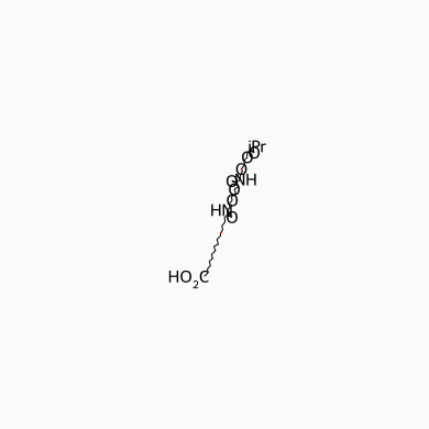 CC(C)C(=O)COCCOCCNC(=O)COCCOCCNC(=O)CCCCCCCCCCCCCCCCC(=O)O